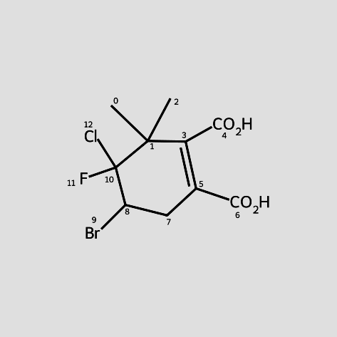 CC1(C)C(C(=O)O)=C(C(=O)O)CC(Br)C1(F)Cl